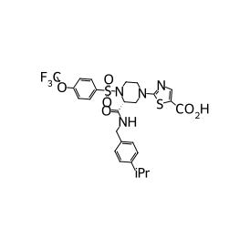 CC(C)c1ccc(CNC(=O)[C@H]2CN(c3ncc(C(=O)O)s3)CCN2S(=O)(=O)c2ccc(OC(F)(F)F)cc2)cc1